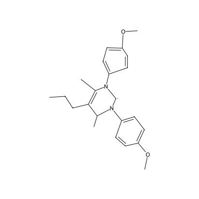 CCCC1=C(C)N(c2ccc(OC)cc2)[CH]N(c2ccc(OC)cc2)C1C